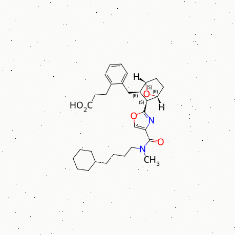 CN(CCCCC1CCCCC1)C(=O)c1coc([C@H]2[C@@H](Cc3ccccc3CCC(=O)O)[C@@H]3CC[C@H]2O3)n1